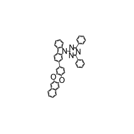 c1ccc(-c2nc(-c3ccccc3)nc(-n3c4ccccc4c4ccc(-c5ccc6c(c5)Oc5cc7ccccc7cc5O6)cc43)n2)cc1